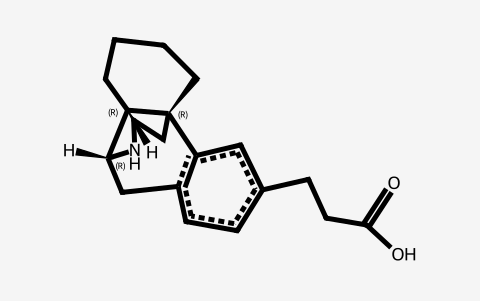 O=C(O)CCc1ccc2c(c1)[C@@]13CCCC[C@H]1[C@@H](C2)NCC3